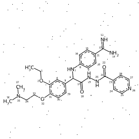 CCOc1cc(C(Nc2ccc(C(=N)N)cc2)C(=O)NNC(=O)c2ccncc2)ccc1OCCN(C)C